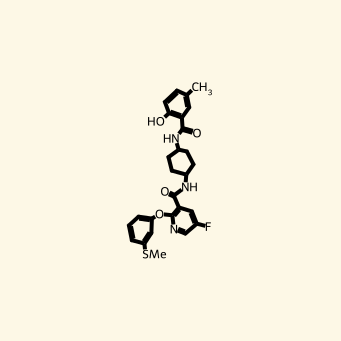 CSc1cccc(Oc2ncc(F)cc2C(=O)NC2CCC(NC(=O)c3cc(C)ccc3O)CC2)c1